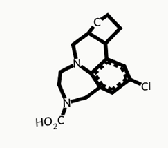 O=C(O)N1CCN2CC3CCCC3c3cc(Cl)cc(c32)C1